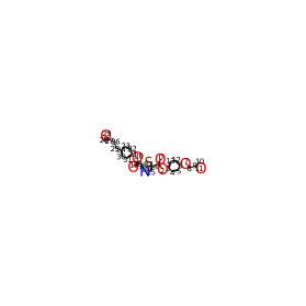 O=C(Oc1ccc(OCC2CO2)cc1)c1cnc(C(=O)Oc2ccc(CCC3CO3)cc2)s1